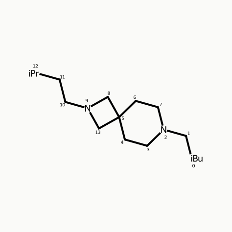 CCC(C)CN1CCC2(CC1)CN(CCC(C)C)C2